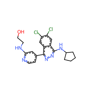 OCCNc1cc(-c2nnc(NC3CCCC3)c3cc(Cl)c(Cl)cc23)ccn1